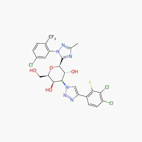 Cc1nc([C@@H]2O[C@H](CO)[C@H](O)[C@H](n3cc(-c4ccc(Cl)c(Cl)c4F)nn3)[C@H]2O)n(-c2cc(Cl)ccc2C(F)(F)F)n1